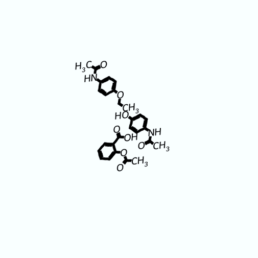 CC(=O)Nc1ccc(O)cc1.CC(=O)Oc1ccccc1C(=O)O.CCOc1ccc(NC(C)=O)cc1